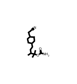 CC(CCC1CCC(CC#N)CC1)C(C)(C)OC(N)=O